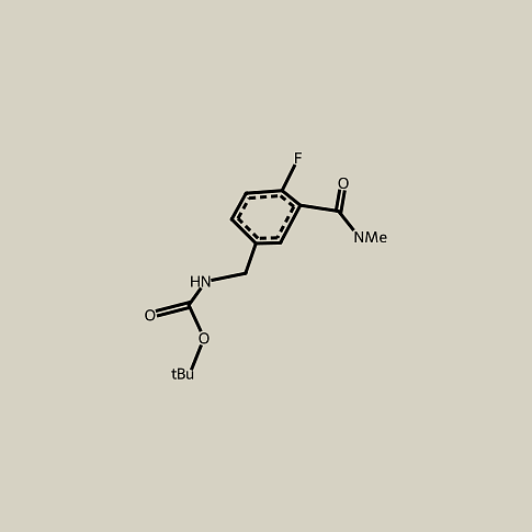 CNC(=O)c1cc(CNC(=O)OC(C)(C)C)ccc1F